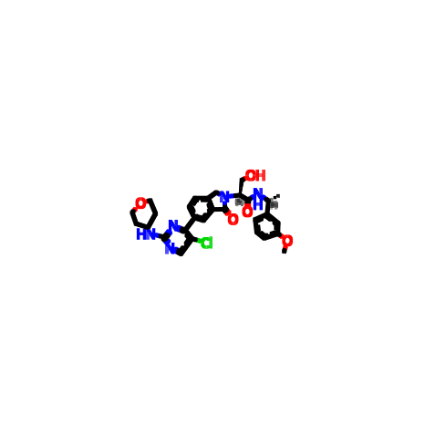 COc1cccc([C@@H](C)NC(=O)[C@H](CO)N2Cc3ccc(-c4nc(NC5CCOCC5)ncc4Cl)cc3C2=O)c1